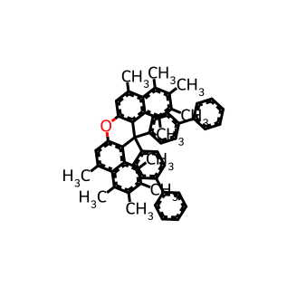 Cc1c(C)c(C)c2c3c(cc(C)c2c1C)Oc1cc(C)c2c(C)c(C)c(C)c(C)c2c1C3(c1ccc(-c2ccccc2)cc1)c1ccc(-c2ccccc2)cc1